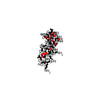 CC(C)C[C@H](NC(=O)CNC(=O)[C@H](CCC(N)=O)NC(=O)[C@H](Cc1c[nH]cn1)NC(=O)[C@@H](NC(=O)[C@@H](N)C(C)C)[C@@H](C)O)C(=O)N[C@@H](CO)C(=O)N[C@@H](CO)C(=O)N1CCC[C@H]1C(=O)N[C@H](C(=O)N[C@H](C(=O)N[C@@H](CCCCN)C(=O)N[C@@H](CO)C(=O)N[C@@H](Cc1ccccc1)C(=O)N[C@@H](CC(N)=O)C(=O)N[C@@H](CCCNC(=N)N)C(=O)NCC(=O)N[C@@H](CCC(=O)O)C(=O)N[C@@H](CS)C(=O)O)[C@@H](C)O)C(C)C